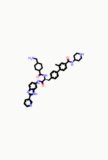 Cc1cc(C(=O)NC2CCNCC2)ccc1-c1ccc(C[C@H](NC(=O)C2CCC(CN)CC2)C(=O)Nc2ccc3nc(-c4cccnc4)[nH]c3c2)cc1